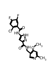 COc1cc(C)ncc1CNC(=O)c1cc(NC(=O)c2cc(F)c(F)cc2Cl)[nH]n1